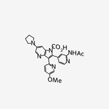 COc1ccc(-c2c(-c3ccnc(NC(C)=O)c3)n(C(=O)O)c3cc(N4CCCC4)cnc23)nc1